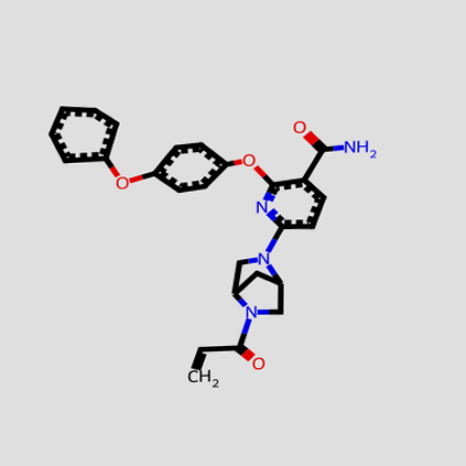 C=CC(=O)N1CC2CC1CN2c1ccc(C(N)=O)c(Oc2ccc(Oc3ccccc3)cc2)n1